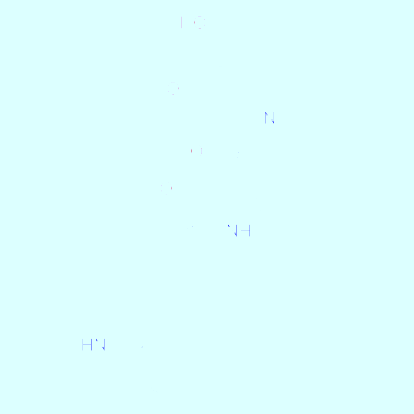 C[C@H](NC(=O)c1cc[nH]c(=S)c1)C(=O)N1CCC[C@H]1C(=O)O